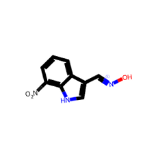 O=[N+]([O-])c1cccc2c(/C=N/O)c[nH]c12